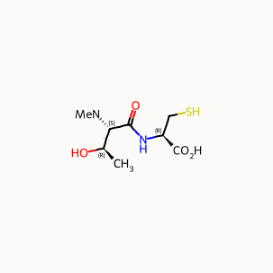 CN[C@H](C(=O)N[C@@H](CS)C(=O)O)[C@@H](C)O